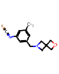 FC(F)(F)c1cc(CN2CC3(COC3)C2)cc(N=C=S)c1